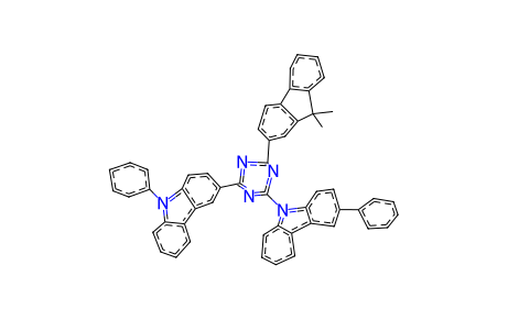 CC1(C)c2ccccc2-c2ccc(-c3nc(-c4ccc5c(c4)c4ccccc4n5-c4ccccc4)nc(-n4c5ccccc5c5cc(-c6ccccc6)ccc54)n3)cc21